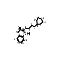 C=C(C)[C@H](CCCCC1CCCCC1)Nc1ccccc1